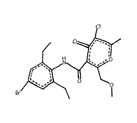 CCc1cc(Br)cc(CC)c1NC(=O)c1c(COC)oc(C)c(Cl)c1=O